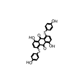 O=C1c2c(O)ccc(Sc3ccc(O)cc3)c2C(=O)c2c(O)ccc(Sc3ccc(O)cc3)c21